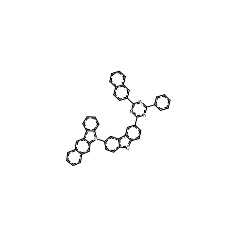 c1ccc(-c2nc(-c3ccc4ccccc4c3)nc(-c3ccc4oc5ccc(-n6c7ccccc7c7cc8ccccc8cc76)cc5c4c3)n2)cc1